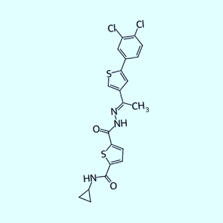 C/C(=N\NC(=O)c1ccc(C(=O)NC2CC2)s1)c1csc(-c2ccc(Cl)c(Cl)c2)c1